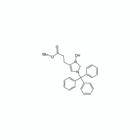 CC(C)(C)OC(=O)CCC1=CN(C(c2ccccc2)(c2ccccc2)c2ccccc2)CN1O